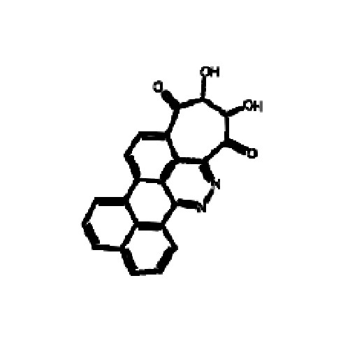 O=C1c2ccc3c4cccc5cccc(c6nnc(c2c36)C(=O)C(O)C1O)c54